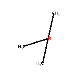 CCCCCCCCCCCCCCCCCCCCCCCCCCCCOC(=O)C(CCCCCCCCCCCCCCCCCCCCCCCCCCCC)CCCCCCCCCCCCCCCCCCCCCCCCCCCC